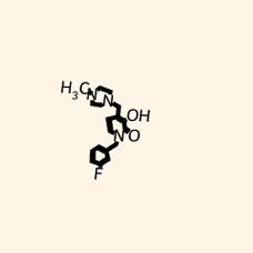 CN1CCN(Cc2ccn(Cc3cccc(F)c3)c(=O)c2O)CC1